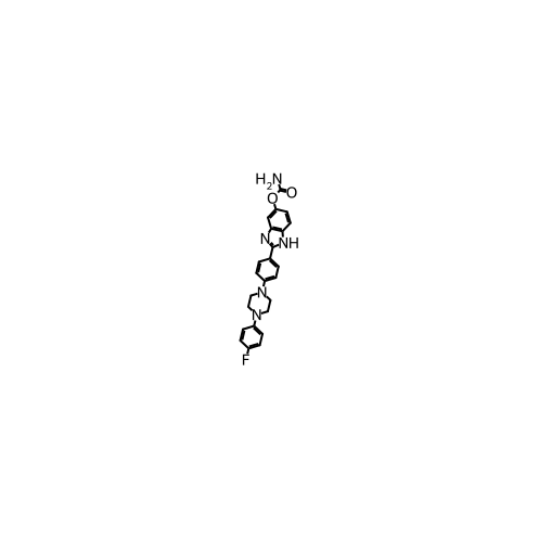 NC(=O)Oc1ccc2[nH]c(-c3ccc(N4CCN(c5ccc(F)cc5)CC4)cc3)nc2c1